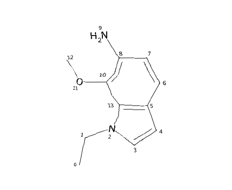 CCn1ccc2ccc(N)c(OC)c21